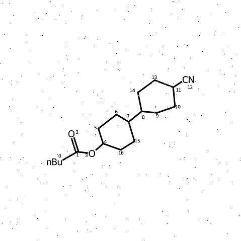 CCCCC(=O)OC1CCC(C2CCC(C#N)CC2)CC1